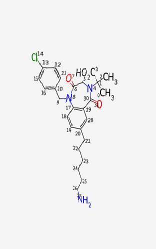 CC(C)(C(=O)O)N1CC(=O)N(Cc2ccc(Cl)cc2)c2ccc(CCCCCCN)cc2C1=O